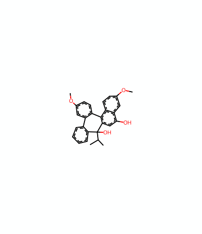 COc1ccc2c(c1)-c1ccccc1C(O)(C(C)C)c1cc(O)c3cc(OC)ccc3c1-2